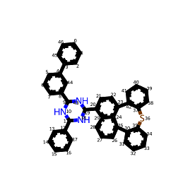 c1ccc(-c2cccc(C3NC(c4ccccc4)NC(c4ccc5c6c(cccc46)-c4ccccc4Sc4ccccc4-5)N3)c2)cc1